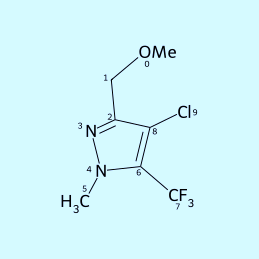 COCc1nn(C)c(C(F)(F)F)c1Cl